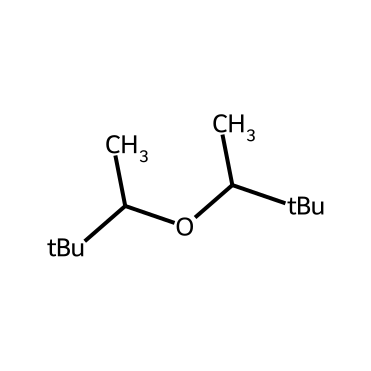 CC(OC(C)C(C)(C)C)C(C)(C)C